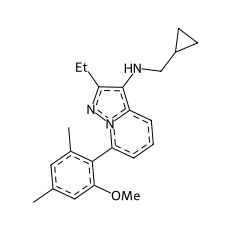 CCc1nn2c(-c3c(C)cc(C)cc3OC)cccc2c1NCC1CC1